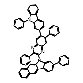 c1ccc(-c2ccc3c4cc5ccccc5cc4n(-c4nc5cc(-c6ccccc6)c(-c6ccc7c8ccccc8n(-c8ccccc8)c7c6)cc5nc4-c4ccccc4)c3c2)cc1